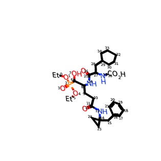 CCOP(=O)(OCC)C(O)C(CCC(=O)NC1(Cc2ccccc2)CC1)NC(=O)C(CC1CCCCC1)NC(=O)O